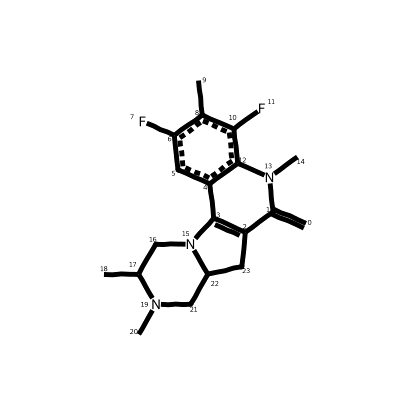 C=C1C2=C(c3cc(F)c(C)c(F)c3N1C)N1CC(C)N(C)CC1C2